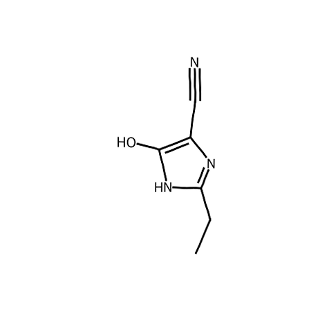 CCc1nc(C#N)c(O)[nH]1